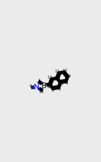 CN1CB(c2ccc3ccccc3c2)C1